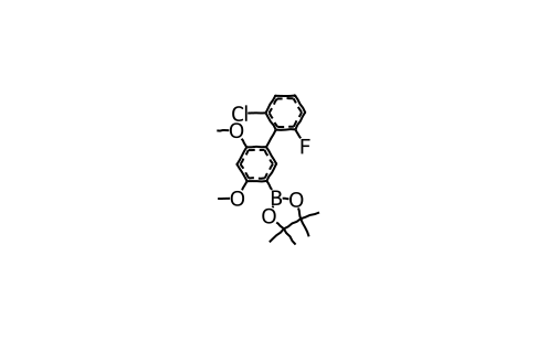 COc1cc(OC)c(-c2c(F)cccc2Cl)cc1B1OC(C)(C)C(C)(C)O1